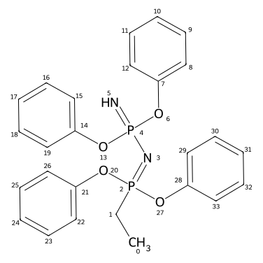 CCP(=NP(=N)(Oc1ccccc1)Oc1ccccc1)(Oc1ccccc1)Oc1ccccc1